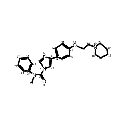 CN(C(=O)n1cnc(-c2ccc(OCCN3CCCCC3)cc2)c1)c1ccccc1